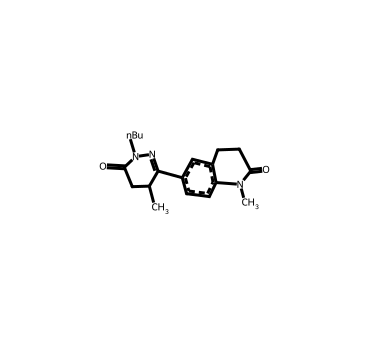 CCCCN1N=C(c2ccc3c(c2)CCC(=O)N3C)C(C)CC1=O